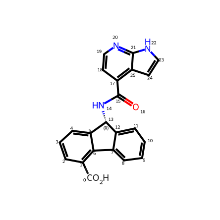 O=C(O)c1cccc2c1-c1ccccc1[C@H]2NC(=O)c1ccnc2[nH]ccc12